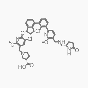 COc1nc(-c2cccc(-c3cccc4c3CC[C@@H]4Oc3nc(OC)c(CN4CC[C@H](C(=O)O)C4)cc3Cl)c2Cl)ccc1CNC[C@@H]1CCC(=O)N1